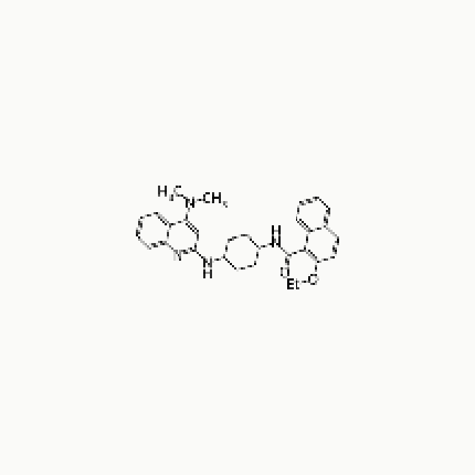 CCOc1ccc2ccccc2c1C(=O)NC1CCC(Nc2cc(N(C)C)c3ccccc3n2)CC1